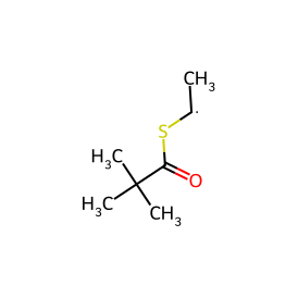 C[CH]SC(=O)C(C)(C)C